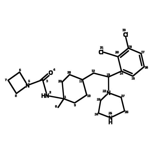 CC1(NC(=O)N2CCC2)CCC(CC(c2cccc(Cl)c2Cl)N2CCNCC2)CC1